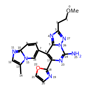 COCCc1nc2c(-c3ccc4ncc(C)n4c3)c(-c3ncco3)nc(N)n2n1